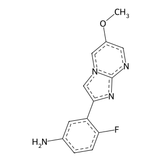 COc1cnc2nc(-c3cc(N)ccc3F)cn2c1